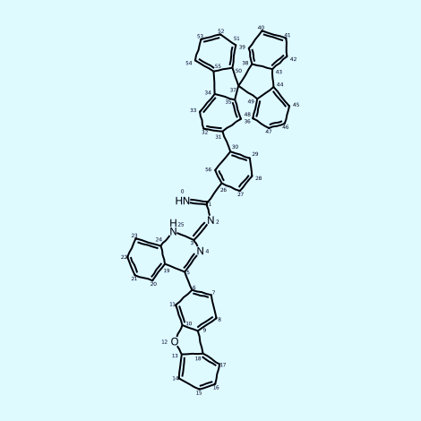 N=C(/N=c1/nc(-c2ccc3c(c2)oc2ccccc23)c2ccccc2[nH]1)c1cccc(-c2ccc3c(c2)C2(c4ccccc4-c4ccccc42)c2ccccc2-3)c1